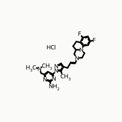 Cc1c(CC=CN2CCN3c4cc(F)cc(F)c4CCC3C2)cnn1-c1cc(CN(C)C)nc(N)n1.Cl